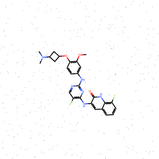 COc1cc(Nc2ncc(F)c(Nc3cc4cccc(F)c4[nH]c3=O)n2)ccc1OC1CC(N(C)C)C1